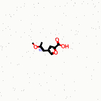 CO/C(C)=C/c1coc(C(=O)O)c1